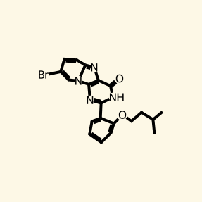 CC(C)CCOc1ccccc1-c1nc2c(nc3ccc(Br)cn32)c(=O)[nH]1